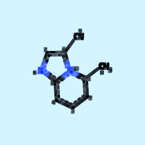 Cc1cccc2ncc(C#N)n12